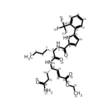 CCCC[C@H](NC(=O)c1ccc(-c2ccccc2C(F)(F)F)[nH]1)C(=O)N[C@H](/C=C/C(=O)OCC)CCC(N)=O